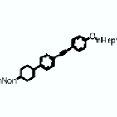 [CH2+][CH-]CCCCCCCC1CCC(c2ccc(C#Cc3ccc(OCCCCCCC)cc3)cc2)CC1